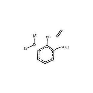 C=C.CCCCCCCCc1ccccc1O.CCOCC